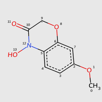 COc1ccc2c(c1)O[CH]C(=O)N2O